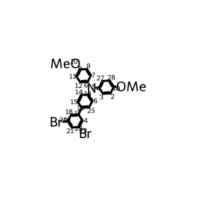 COc1ccc(N(c2ccc(OC)cc2)c2ccc(-c3cc(Br)cc(Br)c3)cc2)cc1